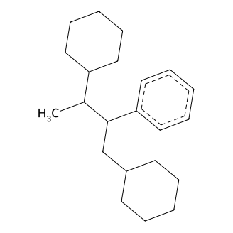 CC(C1CCCCC1)C(CC1CCCCC1)c1ccccc1